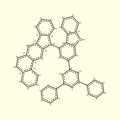 c1ccc(-c2nc(-c3ccccc3)nc(-c3cc(-n4c5ccccc5c5cc6ccc7ccccc7c6cc54)c4c(c3)oc3ccccc34)n2)cc1